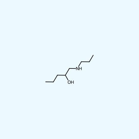 CCCNCC(O)CCC